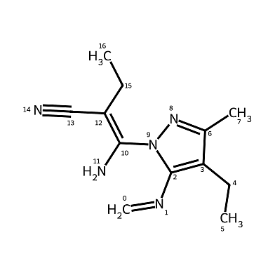 C=Nc1c(CC)c(C)nn1/C(N)=C(/C#N)CC